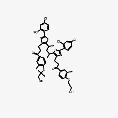 Cc1cc(C(=O)CCc2nc(-c3ccc(Cl)cc3O)oc2C(C)CC(C)c2oc(-c3ccc(Cl)cc3Cl)nc2CCC(=O)c2ccc(SCCO)c(C)c2)ccc1OC(C)(C)CO